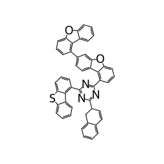 C1=CC(c2nc(-c3cccc4oc5cc(-c6cccc7oc8ccccc8c67)ccc5c34)nc(-c3cccc4sc5ccccc5c34)n2)Cc2ccccc21